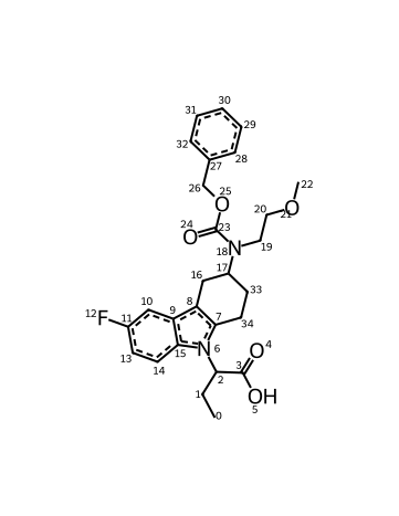 CCC(C(=O)O)n1c2c(c3cc(F)ccc31)CC(N(CCOC)C(=O)OCc1ccccc1)CC2